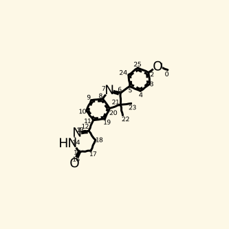 COc1ccc(C2=Nc3ccc(C4=NNC(=O)CC4)cc3C2(C)C)cc1